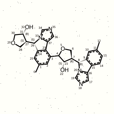 Cc1cc(C2OC[C@@H]([C@@H]3c4cc(C)ccc4-c4cncn43)[C@@H]2O)c2c(c1)[C@H]([C@H]1COC[C@@H]1O)n1cncc1-2